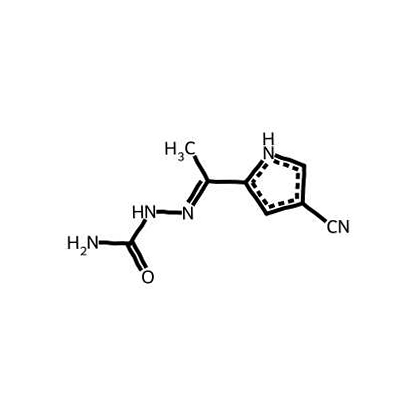 CC(=NNC(N)=O)c1cc(C#N)c[nH]1